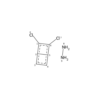 Clc1c2ccc-2c1Cl.NN